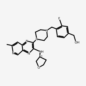 Cc1cc2nc(N3CCN(Cc4ccc(CO)cc4F)CC3)c(N[C@H]3CCOC3)nc2cn1